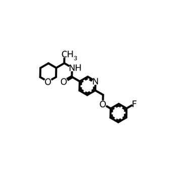 CC(NC(=O)c1ccc(COc2cccc(F)c2)nc1)C1CCCOC1